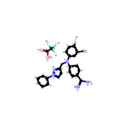 CCc1cc(N(Cc2ccn(-c3ccccc3)n2)c2ccc(C(=N)N)cc2)ccc1F.O=C(O)C(F)(F)F